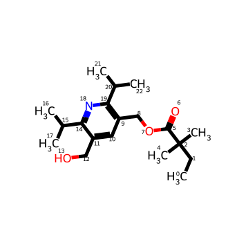 CCC(C)(C)C(=O)OCc1cc(CO)c(C(C)C)nc1C(C)C